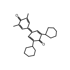 CC1=CC(=C2C=C(C3CCCCC3)C(=O)C(C3CCCCC3)=C2)C=C(C)C1=O